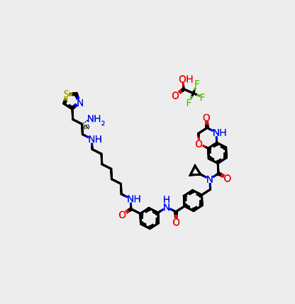 N[C@H](CNCCCCCCCNC(=O)c1cccc(NC(=O)c2ccc(CN(C(=O)c3ccc4c(c3)OCC(=O)N4)C3CC3)cc2)c1)Cc1cscn1.O=C(O)C(F)(F)F